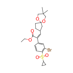 CCOC(=O)C(=CC1CCC2(C1)OCC(C)(C)CO2)c1ccc(S(=O)(=O)C2CC2)c(Br)c1